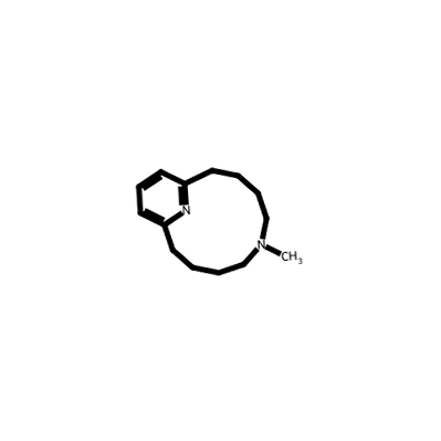 CN1CCCCc2cccc(n2)CCCC1